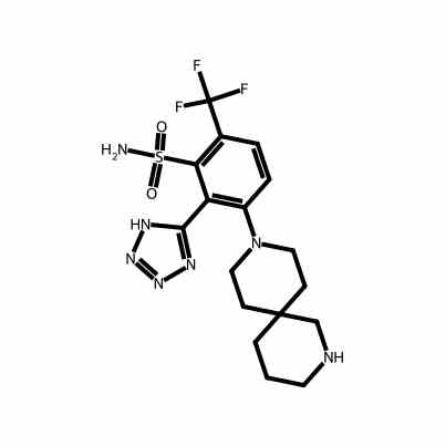 NS(=O)(=O)c1c(C(F)(F)F)ccc(N2CCC3(CCCNC3)CC2)c1-c1nnn[nH]1